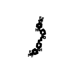 O=C(CCCN1CCC(Nc2ccc(C(F)(F)F)cc2)CC1)N1CCC[C@H](Nc2ccc(SC(F)(F)F)cc2)C1